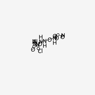 COc1ccc2c(c1)C(c1ccc(Cl)cc1)=N[C@@H](CC(=O)NCCNCCCOCCCNS(=O)(=O)c1cc(-c3c(C)noc3C)ccc1C)c1nnc(C)n1-2